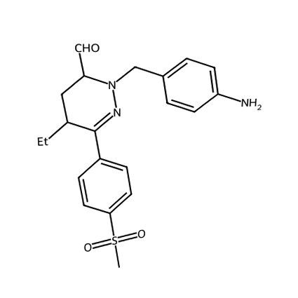 CCC1CC(C=O)N(Cc2ccc(N)cc2)N=C1c1ccc(S(C)(=O)=O)cc1